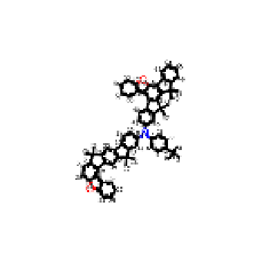 CC(C)(C)c1ccc(N(c2ccc3c(c2)C(C)(C)c2cc4c(cc2-3)C(C)(C)c2ccc3oc5ccccc5c3c2-4)c2ccc3c(c2)C(C)(C)c2c4c(c5oc6ccccc6c5c2-3)-c2ccccc2C4(C)C)cc1